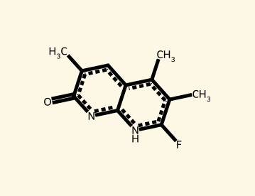 Cc1c2cc(C)c(=O)nc-2[nH]c(F)c1C